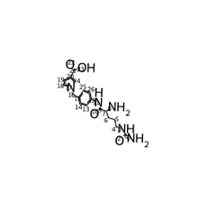 NC(=O)NCCCC(N)C(=O)Nc1ccc(Cn2ccc(C(=O)O)c2)cc1